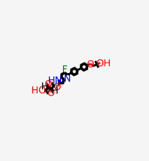 CC(C)(O)COc1ccc(-c2ccc(-c3nc4cc(O[C@@H]5CO[C@H]6[C@@H]5OC[C@H]6O)[nH]c4cc3F)cc2)cc1